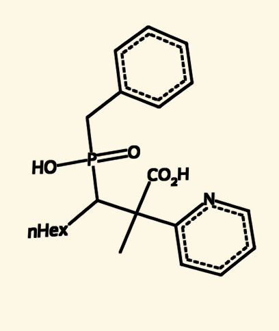 CCCCCCC(C(C)(C(=O)O)c1ccccn1)P(=O)(O)Cc1ccccc1